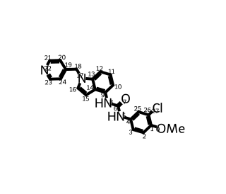 COc1ccc(NC(=O)Nc2cccc3c2ccn3Cc2ccncc2)cc1Cl